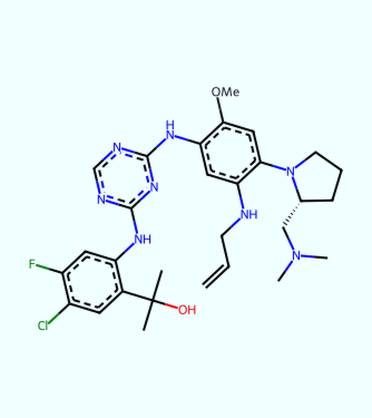 C=CCNc1cc(Nc2ncnc(Nc3cc(F)c(Cl)cc3C(C)(C)O)n2)c(OC)cc1N1CCC[C@@H]1CN(C)C